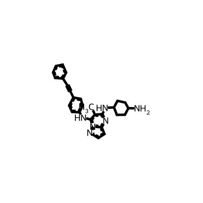 Cc1c(NC2CCC(N)CC2)nc2ccnn2c1Nc1ccc(C#Cc2ccccc2)cc1